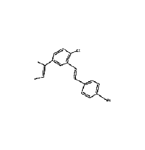 CC=C(C)c1ccc(CC)c(C=Cc2ccc(C(C)CC)cc2)c1